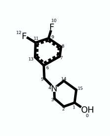 OC1CCN(Cc2ccc(F)c(F)c2)CC1